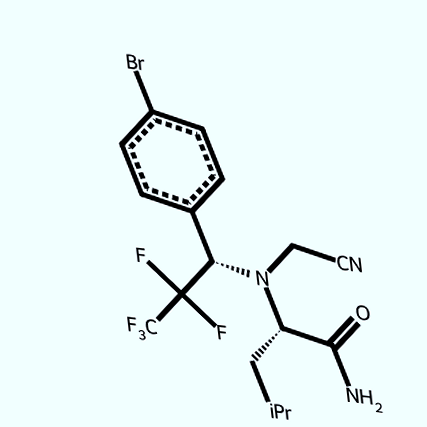 CC(C)C[C@@H](C(N)=O)N(CC#N)[C@@H](c1ccc(Br)cc1)C(F)(F)C(F)(F)F